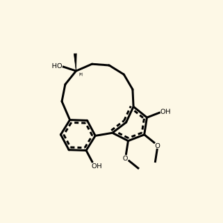 COc1c2cc(c(O)c1OC)CCCC[C@@](C)(O)CCc1ccc(O)c-2c1